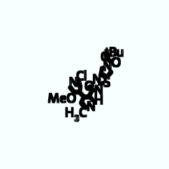 COc1cnc(Cl)cc1-c1cc(C)ncc1C(=O)Nc1nc2c(s1)CN(C(=O)OC(C)(C)C)C2